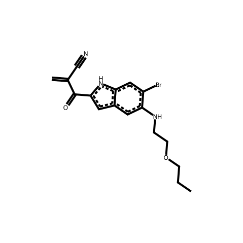 C=C(C#N)C(=O)c1cc2cc(NCCOCCC)c(Br)cc2[nH]1